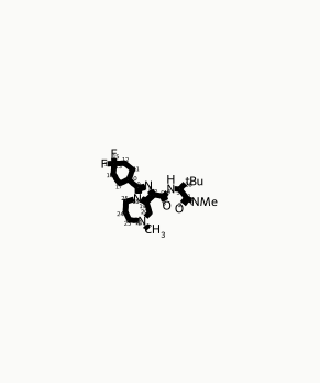 CNC(=O)C(NC(=O)c1nc(C2CCC(F)(F)CC2)n2c1CN(C)CCC2)C(C)(C)C